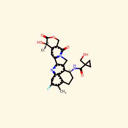 CC[C@@]1(O)C(=O)OCc2c1cc1n(c2=O)Cc2c-1nc1cc(F)c(C)c3c1c2[C@@H](NC(=O)C1(CO)CC1)CC3